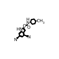 C[C@H]1CC[C@H](NC(=O)Oc2cc3c(C#N)cc(C#N)cc3[nH]2)CC1